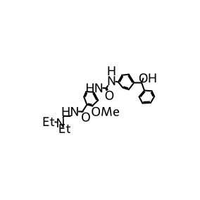 CCN(CC)CCNC(=O)c1ccc(NC(=O)Nc2ccc(C(O)c3ccccc3)cc2)cc1OC